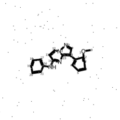 COc1ccccc1-c1cnn2ccc(Nc3ccccc3)nc12